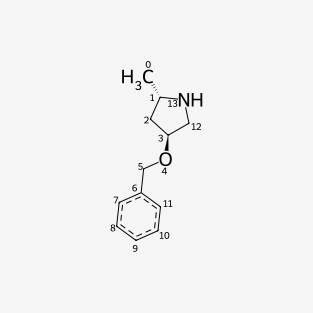 C[C@H]1C[C@H](OCc2ccccc2)CN1